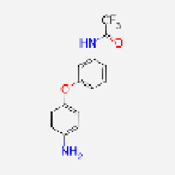 Nc1ccc(Oc2cccc(NC(=O)C(F)(F)F)c2)cc1